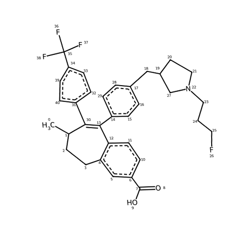 CC1CCc2cc(C(=O)O)ccc2C(c2ccc(CC3CCN(CCCF)C3)cc2)=C1c1ccc(C(F)(F)F)cc1